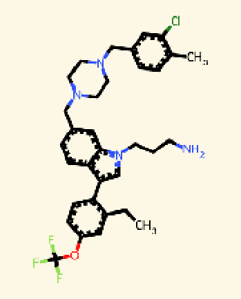 CCc1cc(OC(F)(F)F)ccc1-c1cn(CCCN)c2cc(CN3CCN(Cc4ccc(C)c(Cl)c4)CC3)ccc12